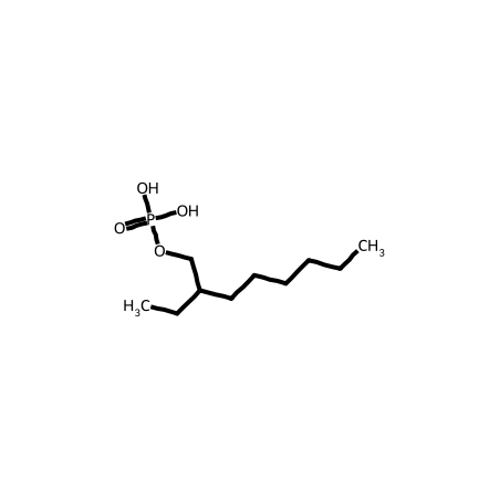 CCCCCCC(CC)COP(=O)(O)O